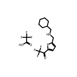 O=C(O)C(F)(F)F.O=C(c1ccc(CNCC2CCCCC2)s1)C(F)(F)F